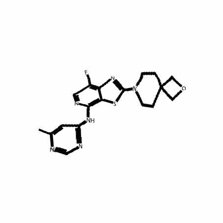 Cc1cc(Nc2ncc(F)c3nc(N4CCC5(CC4)COC5)sc23)ncn1